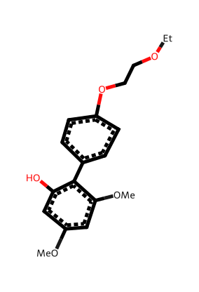 CCOCCOc1ccc(-c2c(O)cc(OC)cc2OC)cc1